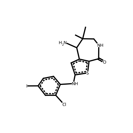 CC1(C)CNC(=O)c2sc(Nc3ccc(I)cc3Cl)cc2C1N